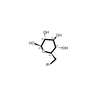 CC(C)C[C@H]1O[C@@H](O)[C@H](O)[C@@H](O)[C@@H]1O